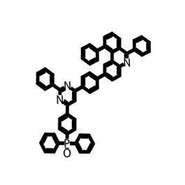 O=P(c1ccccc1)(c1ccccc1)c1ccc(-c2cc(-c3ccc(-c4ccc5nc(-c6ccccc6)c6cccc(-c7ccccc7)c6c5c4)cc3)nc(-c3ccccc3)n2)cc1